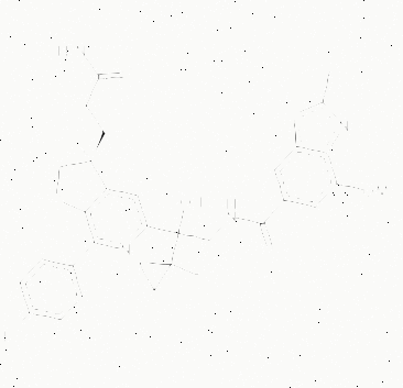 COc1cc(C(=O)NCC(O)(c2cc3c(c(-c4ccc(F)cc4)n2)OC[C@H]3CCC(N)=O)C2(F)CC2)cc2sc(C)nc12